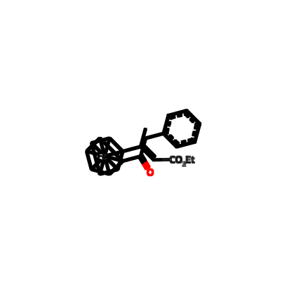 CCOC(=O)C=C(C)[C]12[CH]3[CH]4[CH]5[CH]1[Fe]45321678[CH]2[CH]1[CH]6[C]7(C(=O)Cc1ccccc1)[CH]28